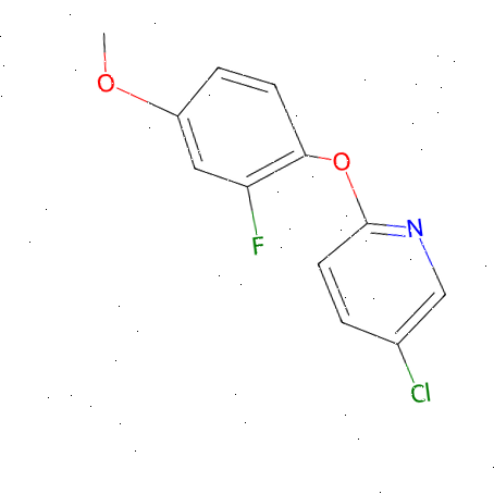 COc1ccc(Oc2ccc(Cl)cn2)c(F)c1